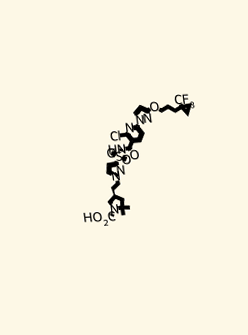 CC1(C)C[C@H](CCn2ccc(S(=O)(=O)NC(=O)c3ccc(-n4ccc(OCCCC5(C(F)(F)F)CC5)n4)nc3Cl)n2)CN1C(=O)O